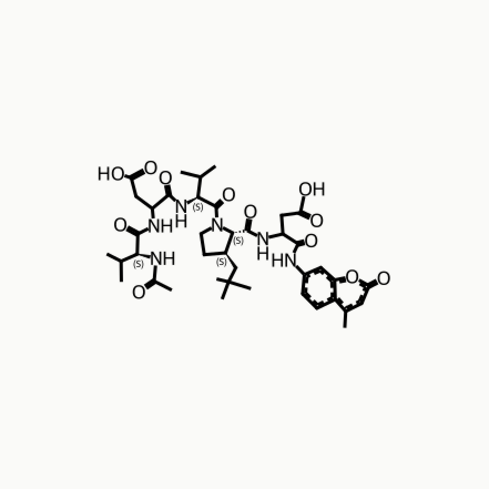 CC(=O)N[C@H](C(=O)NC(CC(=O)O)C(=O)N[C@H](C(=O)N1CC[C@H](CC(C)(C)C)[C@H]1C(=O)NC(CC(=O)O)C(=O)Nc1ccc2c(C)cc(=O)oc2c1)C(C)C)C(C)C